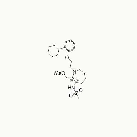 COC[C@H]1[C@@H](NS(C)(=O)=O)CCCCN1CCOc1ccccc1C1CCCCC1